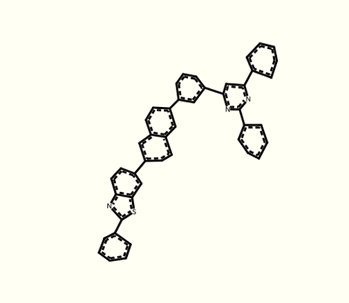 c1ccc(-c2cc(-c3cccc(-c4ccc5cc(-c6ccc7nc(-c8ccccc8)sc7c6)ccc5c4)c3)nc(-c3ccccc3)n2)cc1